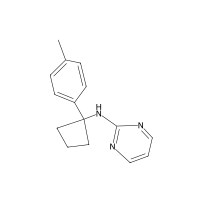 Cc1ccc(C2(Nc3ncccn3)CCC2)cc1